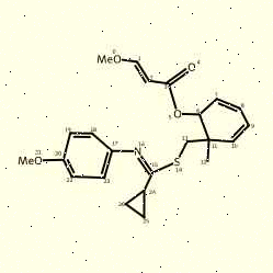 COC=CC(=O)OC1C=CC=CC1(C)CSC(=Nc1ccc(OC)cc1)C1CC1